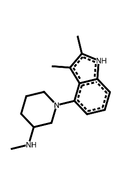 CNC1CCCN(c2cccc3[nH]c(C)c(C)c23)C1